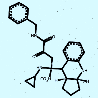 O=C(CC(NC1CC1)(C(=O)O)C1c2ccccc2N[C@@H]2CCC[C@H]12)C(=O)NCc1ccccc1